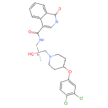 C[C@](O)(CNC(=O)C1=C[N]C(=O)c2ccccc21)CN1CCC(Oc2ccc(Cl)c(Cl)c2)CC1